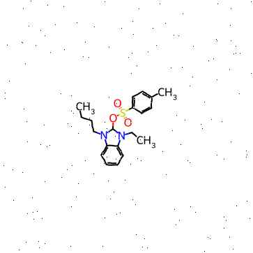 CCCCN1c2ccccc2N(CC)C1OS(=O)(=O)c1ccc(C)cc1